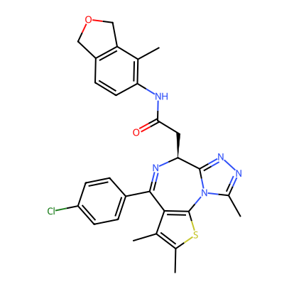 Cc1sc2c(c1C)C(c1ccc(Cl)cc1)=N[C@@H](CC(=O)Nc1ccc3c(c1C)COC3)c1nnc(C)n1-2